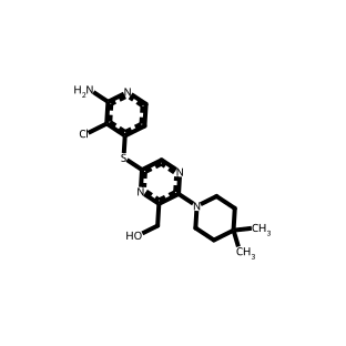 CC1(C)CCN(c2ncc(Sc3ccnc(N)c3Cl)nc2CO)CC1